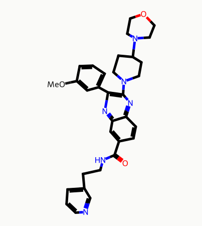 COc1cccc(-c2nc3cc(C(=O)NCCc4cccnc4)ccc3nc2N2CCC(N3CCOCC3)CC2)c1